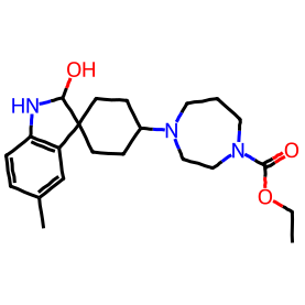 CCOC(=O)N1CCCN(C2CCC3(CC2)c2cc(C)ccc2NC3O)CC1